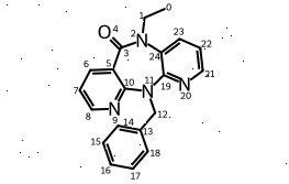 CCN1C(=O)c2cccnc2N(Cc2ccccc2)c2ncccc21